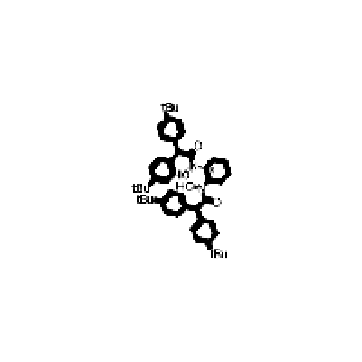 CC(C)(C)c1ccc(C(C(=O)N(O)C2CCCC[C@H]2N(O)C(=O)C(c2ccc(C(C)(C)C)cc2)c2ccc(C(C)(C)C)cc2)c2ccc(C(C)(C)C)cc2)cc1